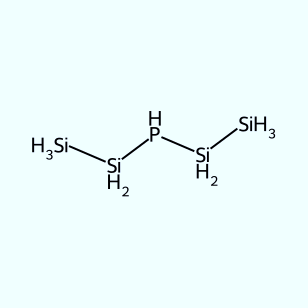 [SiH3][SiH2]P[SiH2][SiH3]